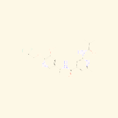 COc1cc(C(C)NC(=O)c2cc(C)nc(NC(=O)C(C)C)c2)cnc1OCC(F)(F)F